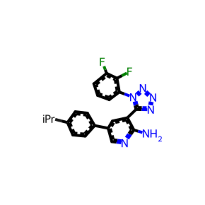 CC(C)c1ccc(-c2cnc(N)c(-c3nnnn3-c3cccc(F)c3F)c2)cc1